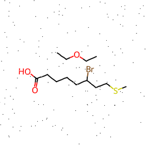 CCOCC.CSCCC(Br)CCCCC(=O)O